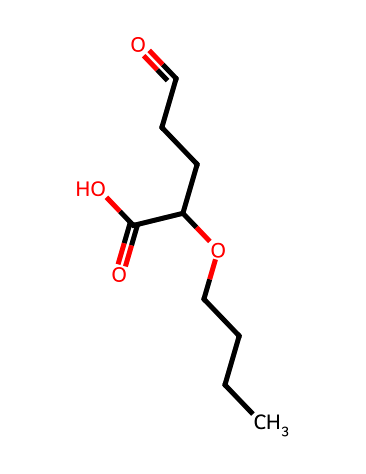 CCCCOC(CCC=O)C(=O)O